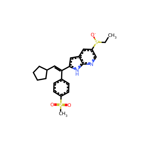 CC[S+]([O-])c1cnc2[nH]c(/C(=C/C3CCCC3)c3ccc(S(C)(=O)=O)cc3)cc2c1